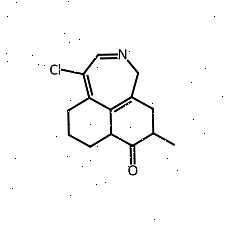 CC1CC2=C3C(=C(Cl)C=NC2)CCCC3C1=O